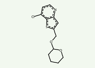 Clc1ccnc2cc(COC3CCCCO3)sc12